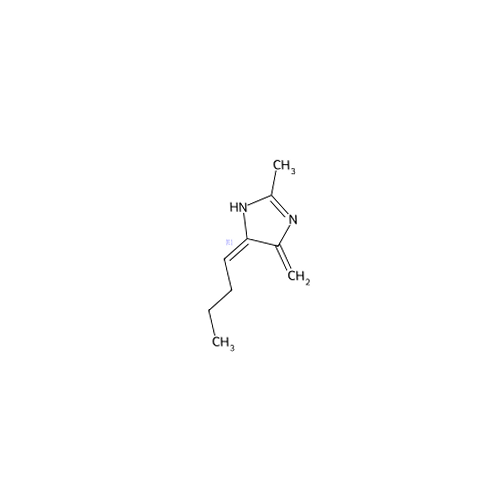 C=c1nc(C)[nH]/c1=C/CCC